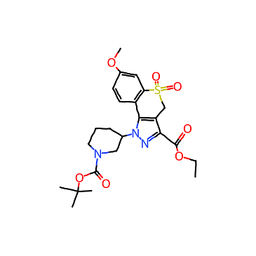 CCOC(=O)c1nn(C2CCCN(C(=O)OC(C)(C)C)C2)c2c1CS(=O)(=O)c1cc(OC)ccc1-2